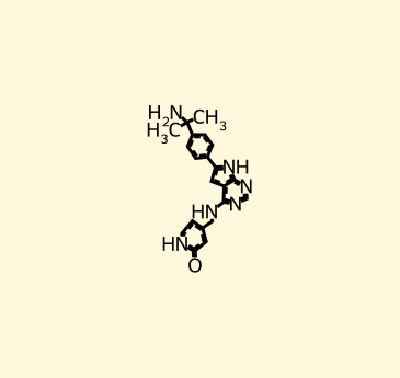 CC(C)(N)c1ccc(-c2cc3c(NCc4cc[nH]c(=O)c4)ncnc3[nH]2)cc1